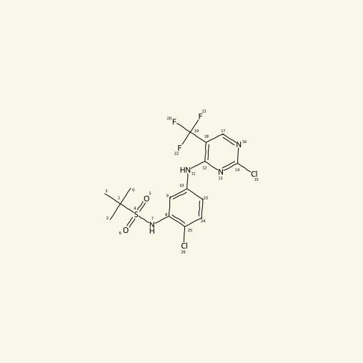 CC(C)(C)S(=O)(=O)Nc1cc(Nc2nc(Cl)ncc2C(F)(F)F)ccc1Cl